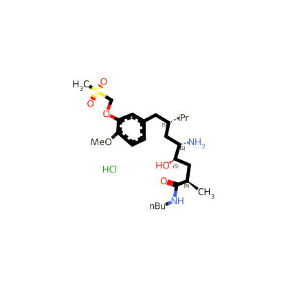 CCCCNC(=O)[C@H](C)C[C@H](O)[C@@H](N)C[C@H](Cc1ccc(OC)c(OCS(C)(=O)=O)c1)C(C)C.Cl